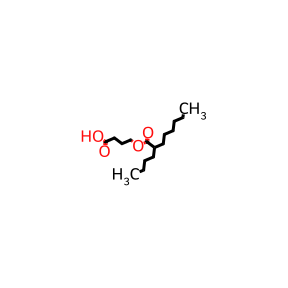 CCCCCCC(CCCC)C(=O)OCCCC(=O)O